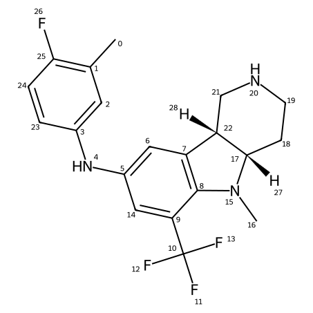 Cc1cc(Nc2cc3c(c(C(F)(F)F)c2)N(C)[C@H]2CCNC[C@@H]32)ccc1F